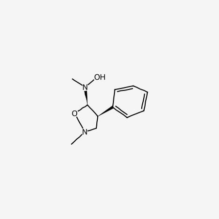 CN1C[C@H](c2ccccc2)[C@H](N(C)O)O1